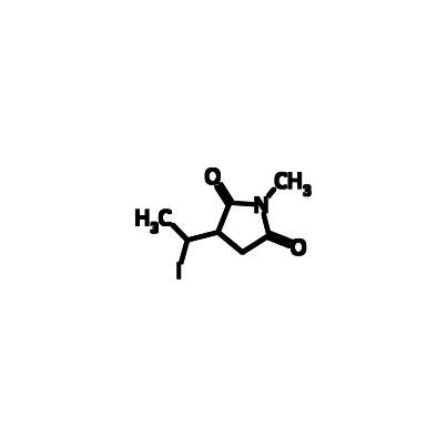 CC(I)C1CC(=O)N(C)C1=O